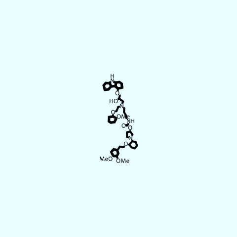 COc1ccc(CCO[C@@H]2CCCC[C@H]2N2CC[C@@H](OC(=O)NCCCCN(CCOc3ccccc3OC)CC(O)COc3cccc4[nH]c5ccccc5c34)C2)cc1OC